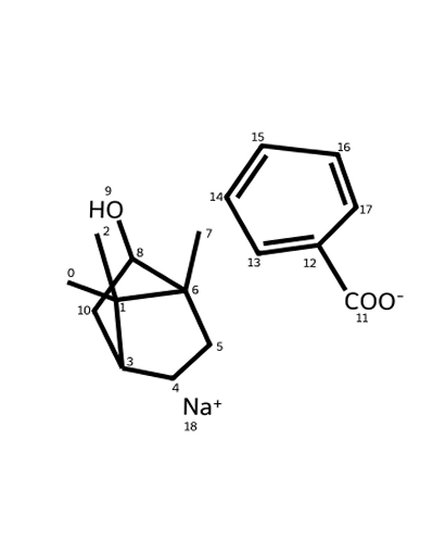 CC1(C)C2CCC1(C)C(O)C2.O=C([O-])c1ccccc1.[Na+]